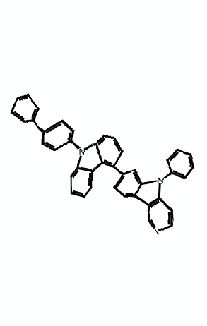 c1ccc(-c2ccc(-n3c4ccccc4c4c(-c5ccc6c7cnccc7n(-c7ccccc7)c6c5)cccc43)cc2)cc1